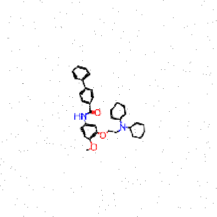 COc1ccc(NC(=O)c2ccc(-c3ccccc3)cc2)cc1OCCN(C1CCCCC1)C1CCCCC1